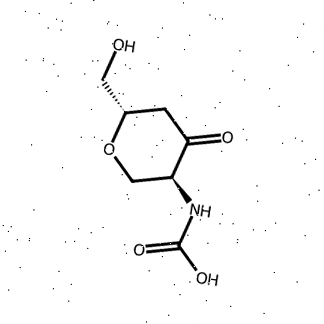 O=C(O)N[C@H]1CO[C@H](CO)CC1=O